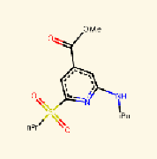 CCCS(=O)(=O)c1cc(C(=O)OC)cc(NC(C)CC)n1